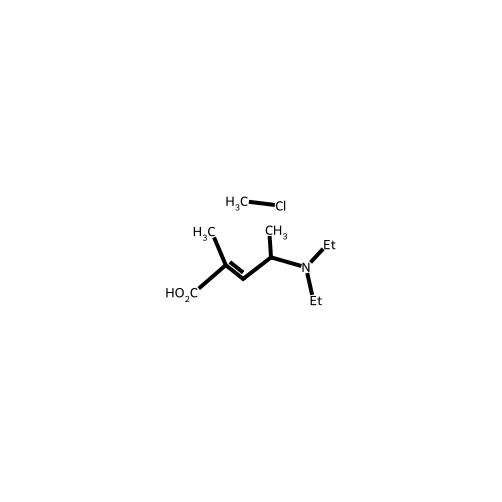 CCN(CC)C(C)C=C(C)C(=O)O.CCl